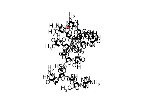 CC[C@H]1O[C@@H](n2cnc3c(N)ncnc32)CC1OP(=O)(S)OC[C@H]1O[C@@H](n2cnc3c(=O)[nH]c(N)nc32)CC1OP(=O)(S)OC[C@H]1O[C@@H](n2cc(C)c(=O)[nH]c2=O)CC1OP(=O)(S)OC[C@H]1O[C@@H](n2cc(C)c(=O)[nH]c2=O)CC1OP(=O)(S)OC[C@H]1O[C@@H](n2cnc3c(=O)[nH]c(N)nc32)CC1OP(=O)(S)OC[C@H]1O[C@@H](n2cc(C)c(N)nc2=O)CC1OP(=O)(S)OC[C@H]1O[C@@H](n2cnc3c(N)ncnc32)CC1OP(=O)(S)OC